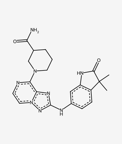 CC1(C)C(=O)Nc2cc(Nc3nc4c(N5CCCC(C(N)=O)C5)nccn4n3)ccc21